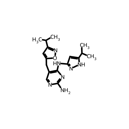 CC(C)c1cc(Cc2cnc(N)nc2Nc2cc(C(C)C)[nH]n2)on1